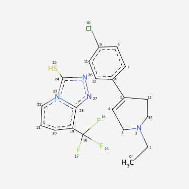 CCN1CC=C(c2ccc(Cl)cc2)CC1.FC(F)(F)c1cccn2c(S)nnc12